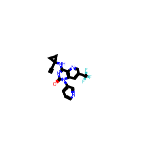 C#CC1(Nc2nc(=O)n(-c3cccnc3)c3cc(C(F)(F)F)cnc23)CC1